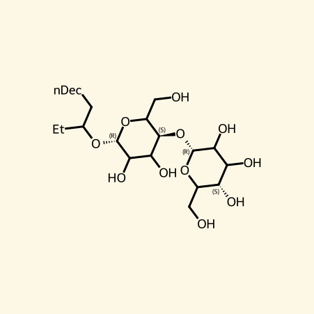 CCCCCCCCCCCC(CC)O[C@@H]1OC(CO)[C@@H](O[C@H]2OC(CO)[C@@H](O)C(O)C2O)C(O)C1O